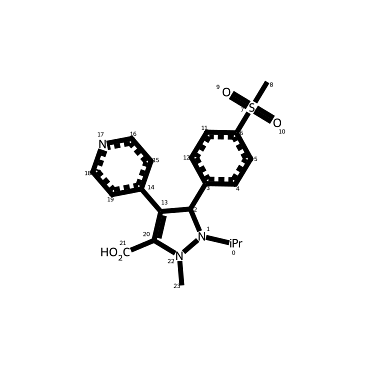 CC(C)N1C(c2ccc(S(C)(=O)=O)cc2)C(c2ccncc2)=C(C(=O)O)N1C